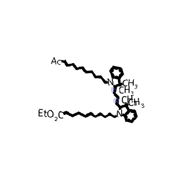 CCOC(=O)CCCCCCCCCCN1c2ccccc2C(C)(C)C1/C=C/C=C1/N(CCCCCCCCCCC(C)=O)c2ccccc2C1(C)C